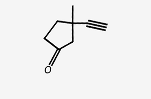 C#CC1(C)CCC(=O)C1